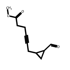 COC(=O)CCC#CCC1CC1C=O